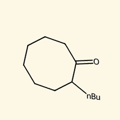 [CH2]CCCC1CCCCCCC1=O